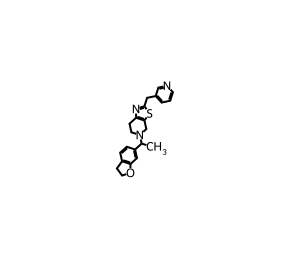 CC(c1ccc2c(c1)OCC2)N1CCc2nc(Cc3cccnc3)sc2C1